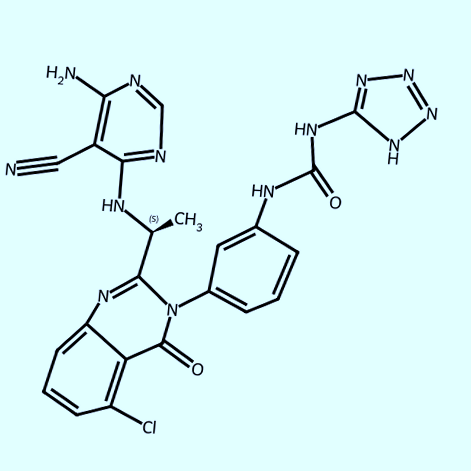 C[C@H](Nc1ncnc(N)c1C#N)c1nc2cccc(Cl)c2c(=O)n1-c1cccc(NC(=O)Nc2nnn[nH]2)c1